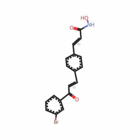 O=C(/C=C/c1ccc(/C=C/C(=O)c2cccc(Br)c2)cc1)NO